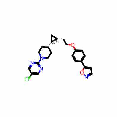 Clc1cnc(N2CCC([C@@H]3C[C@@H]3CCOc3ccc(-c4ccno4)cc3)CC2)nc1